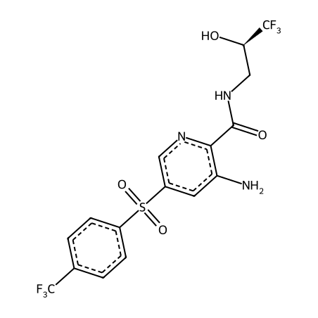 Nc1cc(S(=O)(=O)c2ccc(C(F)(F)F)cc2)cnc1C(=O)NC[C@@H](O)C(F)(F)F